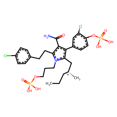 CCC[C@@H](C)Cc1c(-c2ccc(OP(=O)(O)O)c(Cl)c2)c(C(N)=O)c(CCc2ccc(Cl)cc2)n1CCCOP(=O)(O)O